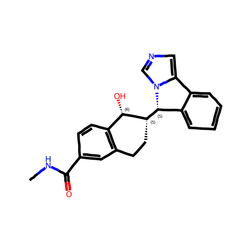 CNC(=O)c1ccc2c(c1)CC[C@@H]([C@H]1c3ccccc3-c3cncn31)[C@H]2O